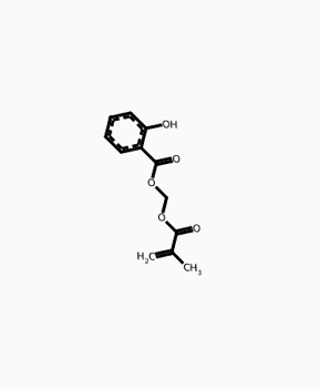 C=C(C)C(=O)OCOC(=O)c1ccccc1O